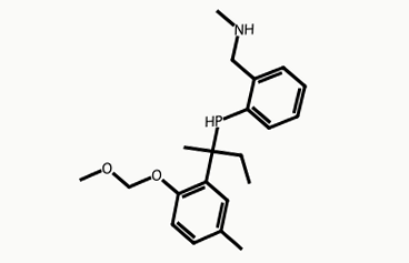 CCC(C)(Pc1ccccc1CNC)c1cc(C)ccc1OCOC